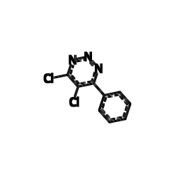 Clc1nnnc(-c2ccccc2)c1Cl